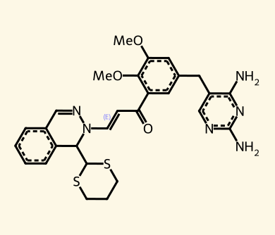 COc1cc(Cc2cnc(N)nc2N)cc(C(=O)/C=C/N2N=Cc3ccccc3C2C2SCCCS2)c1OC